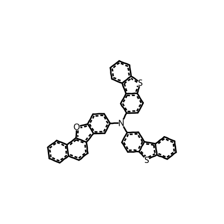 c1ccc2c(c1)ccc1c3cc(N(c4ccc5sc6ccccc6c5c4)c4ccc5sc6ccccc6c5c4)ccc3oc21